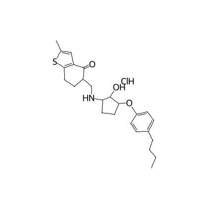 CCCCc1ccc(OC2CCC(NCC3CCc4sc(C)cc4C3=O)C2O)cc1.Cl